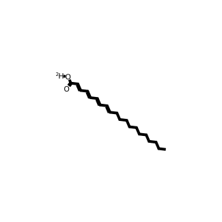 [2H]OC(=O)C=CC=CC=CC=CCCCCCCCCCCC